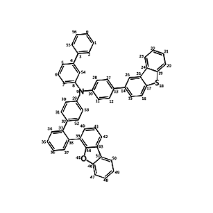 c1ccc(-c2cccc(N(c3ccc(-c4ccc5sc6ccccc6c5c4)cc3)c3ccc(-c4ccccc4-c4cccc5c4oc4ccccc45)cc3)c2)cc1